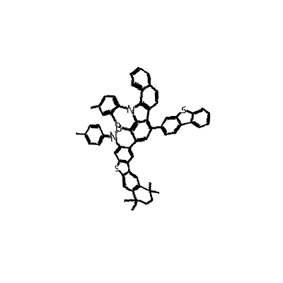 Cc1ccc(N2B3c4cc(C)ccc4-n4c5c3c(cc(-c3ccc6c(c3)sc3ccccc36)c5c3ccc5ccccc5c34)-c3cc4c(cc32)sc2cc3c(cc24)C(C)(C)CCC3(C)C)cc1